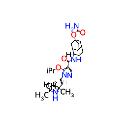 C=C(C)NC(C)(C)/C=C/n1ncc(C(=O)N[C@H]2C3CC4CC2C[C@](OC(N)=O)(C4)C3)c1OC(C)C